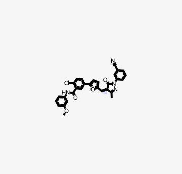 COc1cccc(NC(=O)c2cc(-c3ccc(/C=C4\C(=O)N(c5cccc(C#N)c5)N=C4C)o3)ccc2Cl)c1